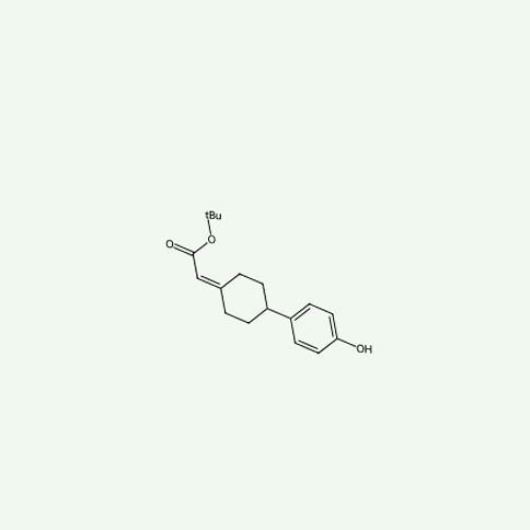 CC(C)(C)OC(=O)C=C1CCC(c2ccc(O)cc2)CC1